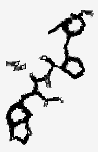 Cc1nc(N)ccc1CN1CCC[C@@H]1C(=O)NC(=O)C(Cc1ccc2c(c1)OCO2)NN.Cl.Cl